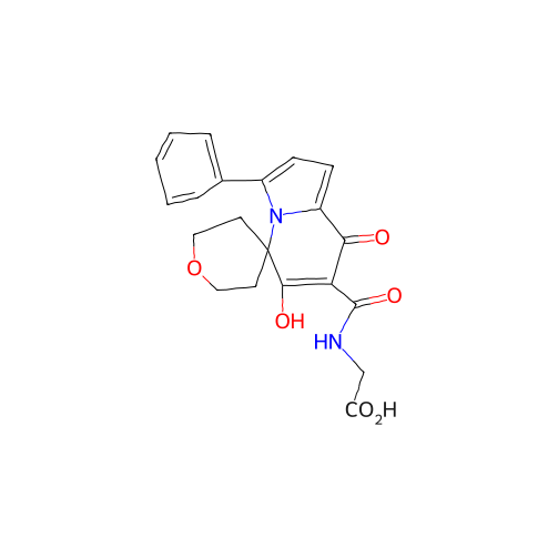 O=C(O)CNC(=O)C1=C(O)C2(CCOCC2)n2c(ccc2-c2ccccc2)C1=O